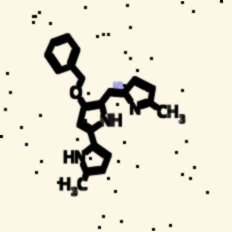 CC1=N/C(=C\c2[nH]c(-c3ccc(C)[nH]3)cc2OCc2ccccc2)C=C1